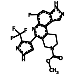 COC(=O)N1CCc2c(c(-c3c[nH]nc3C(F)(F)F)nc3c(F)cc4[nH]ncc4c23)C1